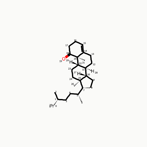 CC(C)[C@H](C)CC[C@@H](C)[C@H]1CC[C@H]2[C@@H]3CCC4=CCCC(=O)[C@]4(C)[C@H]3CC[C@]12C